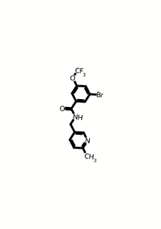 Cc1ccc(CNC(=O)c2cc(Br)cc(OC(F)(F)F)c2)cn1